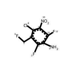 Nc1c(F)c(CF)c(Cl)c([N+](=O)[O-])c1F